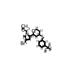 COCn1nc(Br)cc1C1CC(Sc2cccc(C(F)(F)F)c2)CCO1